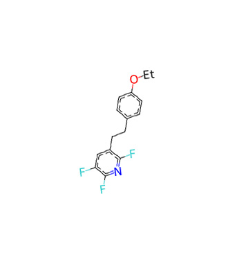 CCOc1ccc(CCc2cc(F)c(F)nc2F)cc1